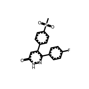 CS(=O)(=O)c1ccc(-c2cc(=O)[nH]nc2-c2ccc(F)cc2)cc1